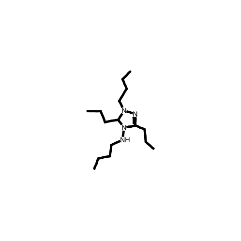 CCCCNN1C(CCC)=NN(CCCC)C1CCC